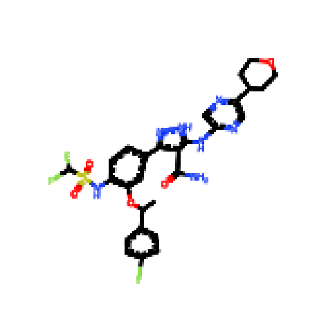 CC(Oc1cc(-c2n[nH]c(Nc3cnc(C4CCOCC4)cn3)c2C(N)=O)ccc1NS(=O)(=O)C(F)F)c1ccc(F)cc1